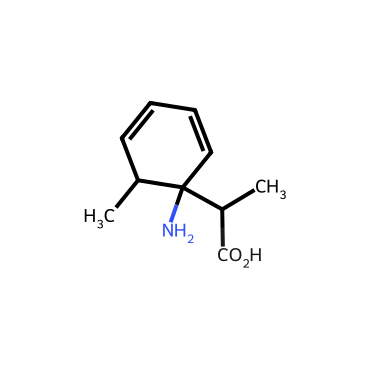 CC1C=CC=CC1(N)C(C)C(=O)O